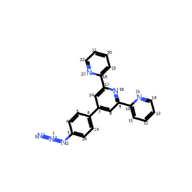 [N-]=[N+]=Nc1ccc(-c2cc(-c3ccccn3)nc(-c3ccccn3)c2)cc1